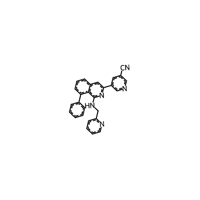 N#Cc1cncc(-c2cc3cccc(-c4ccccc4)c3c(NCc3ccccn3)n2)c1